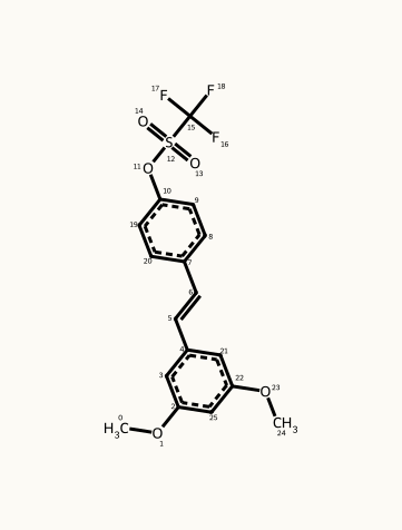 COc1cc(C=Cc2ccc(OS(=O)(=O)C(F)(F)F)cc2)cc(OC)c1